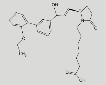 CCOc1ccccc1-c1cccc(C(O)C=C[C@H]2CCC(=O)N2CCCCCCC(=O)O)c1